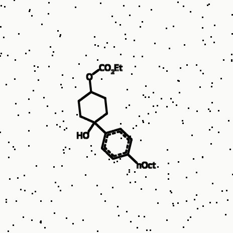 CCCCCCCCc1ccc(C2(O)CCC(OC(=O)OCC)CC2)cc1